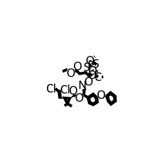 CC1(C)[C@H](C(=O)OC(C#N)c2cccc(Oc3ccccc3)c2)[C@@H]1C=C(Cl)Cl.CCOC(=O)CC(SP(=S)(OC)OC)C(=O)OCC